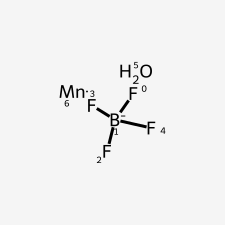 F[B-](F)(F)F.O.[Mn]